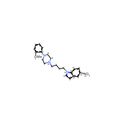 COc1ccccc1N1CCN(CCCCn2ccc3cc([N+](=O)[O-])ccc32)CC1